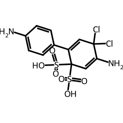 NC1=CC(S(=O)(=O)O)(S(=O)(=O)O)C(c2ccc(N)cc2)=CC1(Cl)Cl